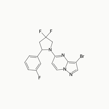 Fc1cccc(C2CC(F)(F)CN2c2ccn3ncc(Br)c3n2)c1